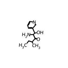 CCC(C)C(=O)C(N)C(O)c1cccnc1